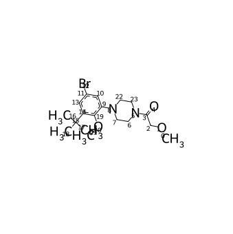 COCC(=O)N1CCN(c2cc(Br)cc(C(C)(C)C)c2OC)CC1